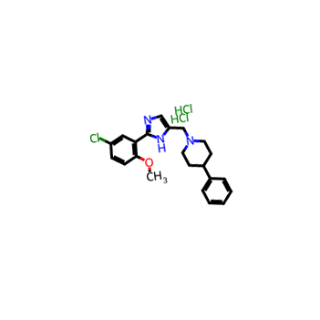 COc1ccc(Cl)cc1-c1ncc(CN2CCC(c3ccccc3)CC2)[nH]1.Cl.Cl